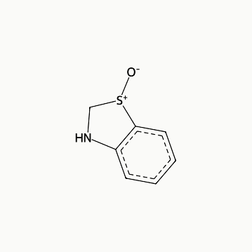 [O-][S+]1CNc2ccccc21